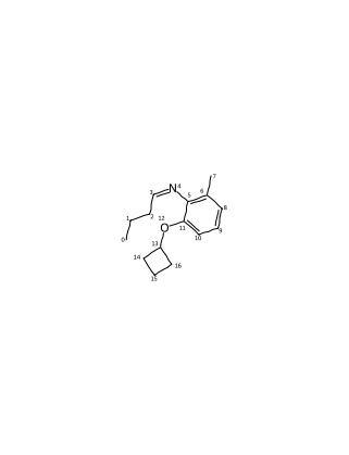 CCC/C=N\c1c(C)cccc1OC1CCC1